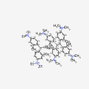 CCCCCCC(c1ccc(N(CC)CC)cc1C)c1ccc(N(CC)CC)cc1C.Cc1cc(N(C)C)ccc1C(c1ccc(N(C)C)cc1C)C(c1ccc(N(C)C)cc1C)c1ccc(N(C)C)cc1C